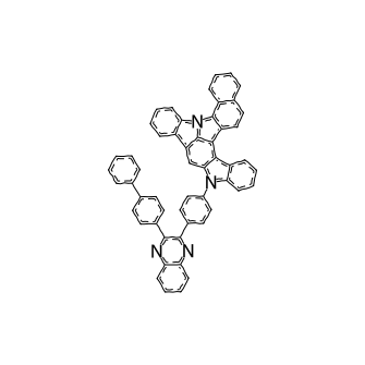 c1ccc(-c2ccc(-c3nc4ccccc4nc3-c3ccc(-n4c5ccccc5c5c6c7ccc8ccccc8c7n7c8ccccc8c(cc54)c67)cc3)cc2)cc1